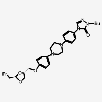 CCC(C)n1ncn(-c2ccc(N3CCN(c4ccc(OC[C@@H]5CO[C@@H](CC(C)C)O5)cc4)CC3)cc2)c1=O